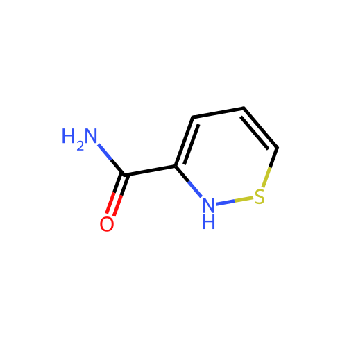 NC(=O)C1=CC=CSN1